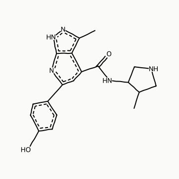 Cc1n[nH]c2nc(-c3ccc(O)cc3)cc(C(=O)NC3CNCC3C)c12